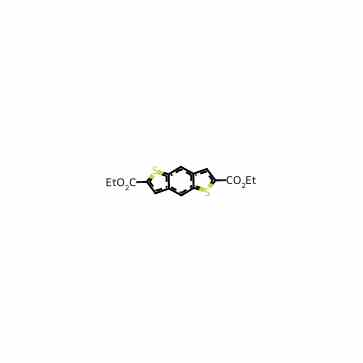 CCOC(=O)c1cc2cc3sc(C(=O)OCC)cc3cc2s1